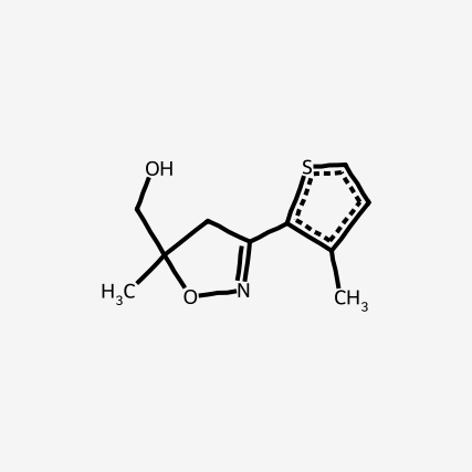 Cc1ccsc1C1=NOC(C)(CO)C1